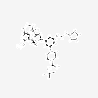 CC(C)(C)OC(=O)N1CCN(c2cc(OCCN3CCCC3)cc(-c3noc(C4(C)CCCc5sc(N)c(C#N)c54)n3)c2)CC1